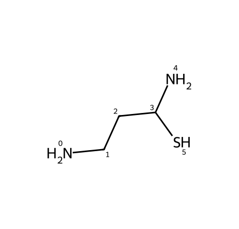 NCCC(N)S